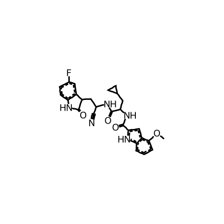 COc1cccc2[nH]c(C(=O)NC(CC3CC3)C(=O)NC(C#N)CC3C(=O)Nc4ccc(F)cc43)cc12